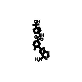 Cc1ccc(S(=O)(=O)NC23CCC(C(C)(C)O)(CC2)C3)cc1-c1cn2c(N)ncnc2n1